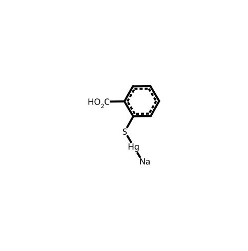 O=C(O)c1ccccc1[S][Hg][Na]